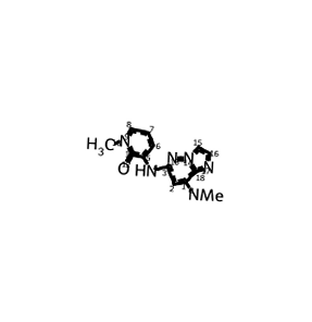 CNc1cc(Nc2cccn(C)c2=O)nn2ccnc12